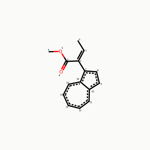 CC=C(C(=O)OC)c1ccc2cccccc1-2